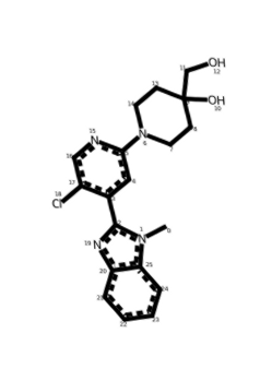 Cn1c(-c2cc(N3CCC(O)(CO)CC3)ncc2Cl)nc2ccccc21